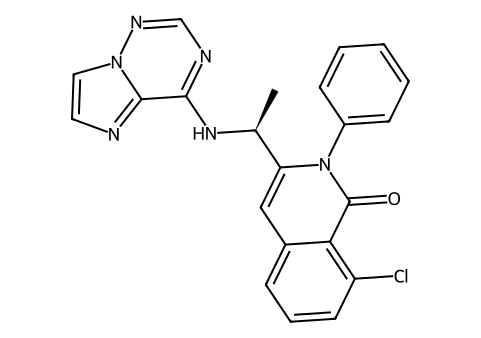 C[C@H](Nc1ncnn2ccnc12)c1cc2cccc(Cl)c2c(=O)n1-c1ccccc1